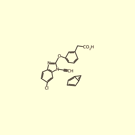 C#Cn1c(Oc2cccc(CC(=O)O)c2)nc2ccc(Cl)cc21.c1cc2cc-2c1